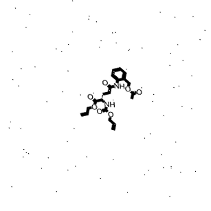 C=CCOC(=O)N[C@@H](CCC(=O)Nc1ccccc1COC(C)=O)C(=O)OCC=C